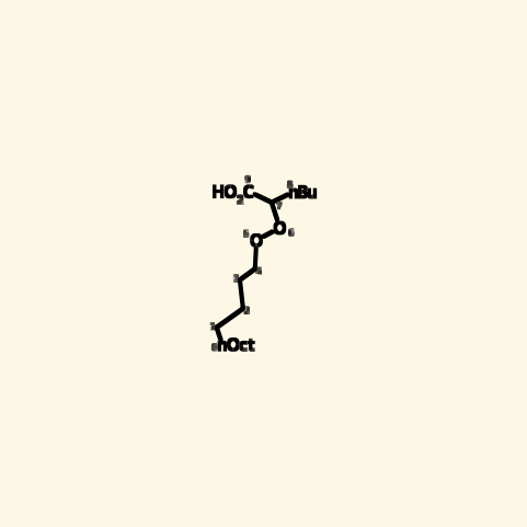 CCCCCCCCCCCCOOC(CCCC)C(=O)O